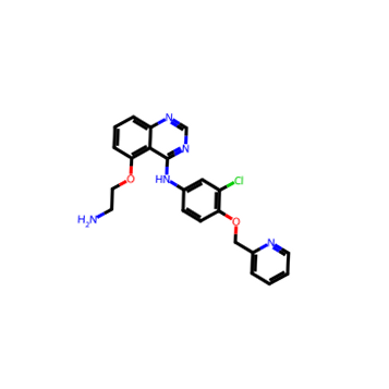 NCCOc1cccc2ncnc(Nc3ccc(OCc4ccccn4)c(Cl)c3)c12